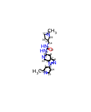 Cc1cc(-n2ncc3cc(NC(=O)NCC4CCN(C)C4)ncc32)ccn1